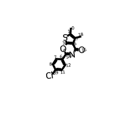 Cc1sc2oc(-c3ccc(Cl)cc3)nc(=O)c2c1C